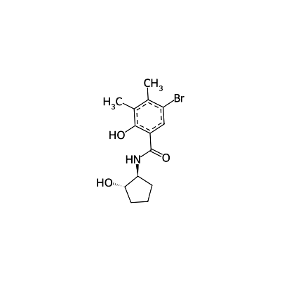 Cc1c(Br)cc(C(=O)N[C@H]2CCC[C@@H]2O)c(O)c1C